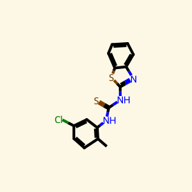 Cc1ccc(Cl)cc1NC(=S)Nc1nc2ccccc2s1